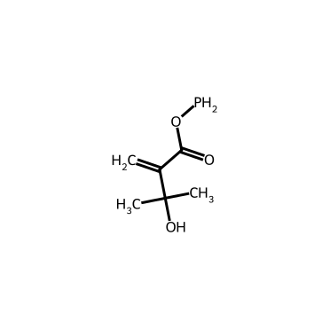 C=C(C(=O)OP)C(C)(C)O